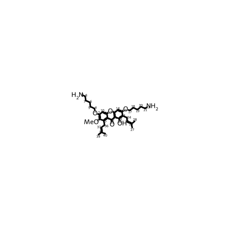 COc1c(OCCCCCN)cc2oc3cc(OCCCCCN)c(CC=C(C)C)c(O)c3c(=O)c2c1CC=C(C)C